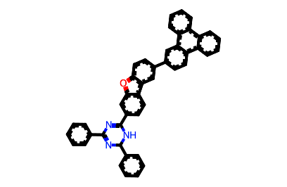 c1ccc(C2=NC(c3ccccc3)NC(c3ccc4c(c3)oc3ccc(-c5ccc6c7ccccc7c7ccccc7c6c5)cc34)=N2)cc1